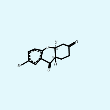 O=C1CC[C@@H]2C(=O)c3cc(Br)ccc3O[C@H]2C1